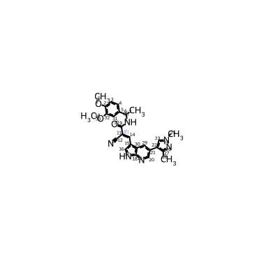 COc1ccc([C@@H](C)NC(=O)/C(C#N)=C/c2c[nH]c3ncc(-c4cn(C)nc4C)cc23)cc1OC